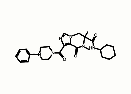 CN1C(=O)c2c(C(=O)N3CCN(c4ccccc4)CC3)ncn2CC1(C)C(=O)NC1CCCCC1